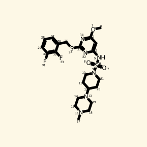 COc1cc(NS(=O)(=O)N2CCC(N3CCN(C)CC3)CC2)nc(SCc2cccc(F)c2F)n1